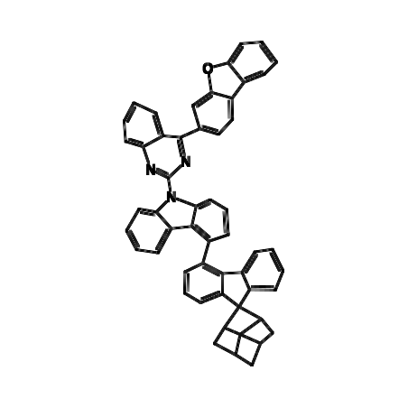 c1ccc2c(c1)-c1c(-c3cccc4c3c3ccccc3n4-c3nc(-c4ccc5c(c4)oc4ccccc45)c4ccccc4n3)cccc1C21C2CC3CC4CC1C342